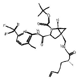 C=CCC[C@@H](C)C(=O)NC[C@@]12C[C@@H](C(=O)Nc3nc(C(F)(F)F)ccc3C)N(C(=O)OC(C)(C)C)[C@@H]1C2